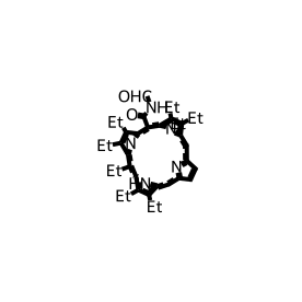 CCC1=C(CC)c2nc1c(CC)c1[nH]c(cc3nc(cc4c(CC)c(CC)c(c2C(=O)NC=O)n4CC)C=C3)c(CC)c1CC